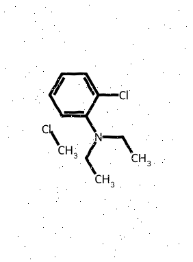 CCN(CC)c1ccccc1Cl.CCl